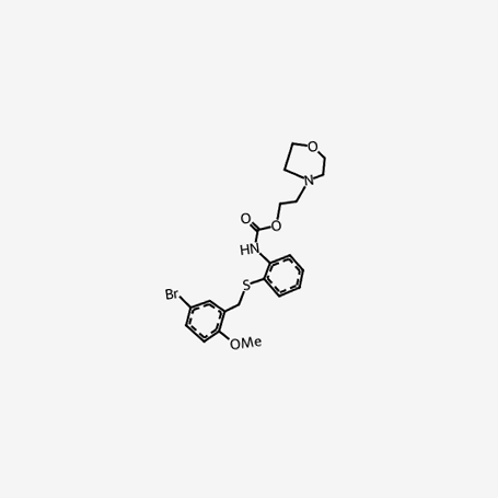 COc1ccc(Br)cc1CSc1ccccc1NC(=O)OCCN1CCOCC1